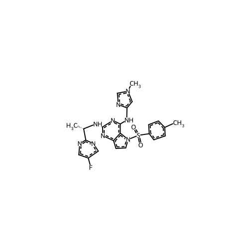 Cc1ccc(S(=O)(=O)n2ccc3nc(N[C@@H](C)c4ncc(F)cn4)nc(Nc4cn(C)cn4)c32)cc1